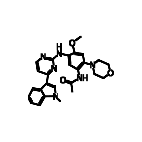 COc1cc(N2CCOCC2)c(NC(C)=O)cc1Nc1nccc(-c2cn(C)c3ccccc23)n1